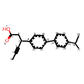 CC#CC(CC(=O)O)c1ccc(-c2ccc(C(C)C)cc2)cc1